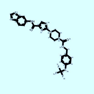 O=C(Nc1ccc2ncsc2c1)c1csc(N2CCN(C(=O)OCc3ccc(SC(F)(F)F)cc3)CC2)n1